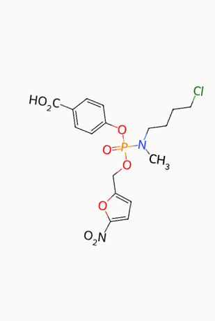 CN(CCCCCl)P(=O)(OCc1ccc([N+](=O)[O-])o1)Oc1ccc(C(=O)O)cc1